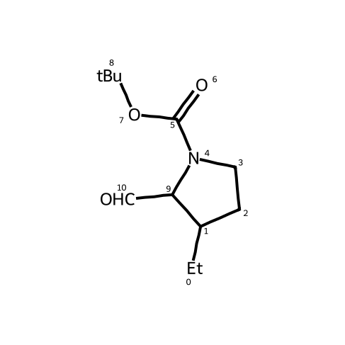 CCC1CCN(C(=O)OC(C)(C)C)C1C=O